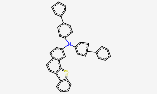 c1ccc(-c2ccc(N(c3ccc(-c4ccccc4)cc3)c3ccc4ccc5c6ccccc6sc5c4c3)cc2)cc1